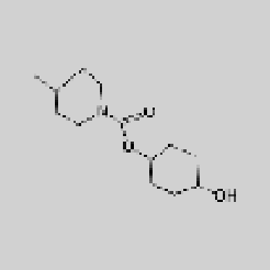 CC1CCN(C(=O)OC2CCC(O)CC2)CC1